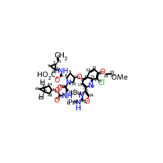 C=C[C@@H]1C[C@]1(NC(=O)[C@@H]1C[C@@H](Oc2cc(-c3coc(NC(C)C)n3)nc3c(Cl)c(OCCOC)ccc23)CN1C(=O)[C@@H](NC(=O)O[C@@H]1C[C@@H]2C[C@@H]2C1)C(C)(C)C)C(=O)O